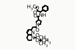 COC(=O)[C@H](NC(=O)C1CCN(C(=O)Cc2ccc3c(n2)N(C(=O)OC(C)(C)C)CCC3)C1)c1ccccc1